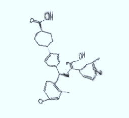 Cc1cc(C(C[C@H](c2ccc([C@H]3CC[C@H](C(=O)O)CC3)cc2)c2ccc(Cl)cc2C)=NO)ccn1